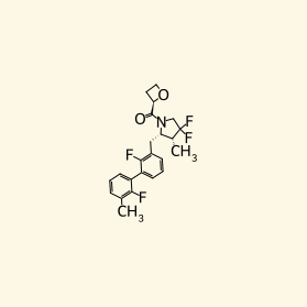 Cc1cccc(-c2cccc(C[C@H]3[C@@H](C)C(F)(F)CN3C(=O)[C@H]3CCO3)c2F)c1F